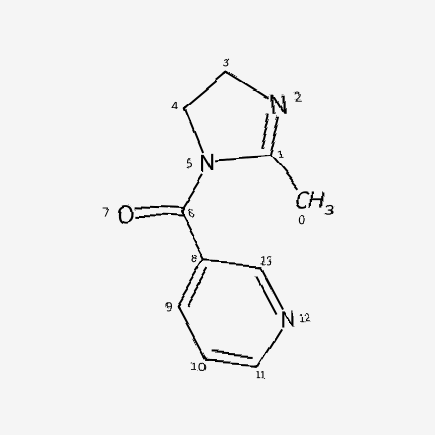 CC1=NCCN1C(=O)c1cccnc1